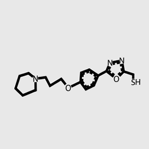 SCc1nnc(-c2ccc(OCCCN3CCCCC3)cc2)o1